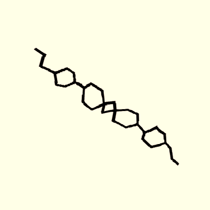 CCCC1CCC(C2CCC3(CC2)CC2(CCC(C4CCC(CCC)CC4)CC2)C3)CC1